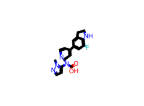 Cn1nccc1N(C(=O)O)c1cc(-c2cc(F)c3c(c2)CCN3)ccn1